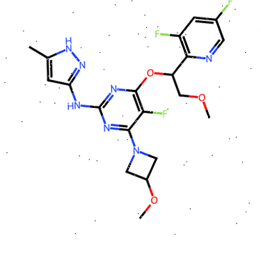 COCC(Oc1nc(Nc2cc(C)[nH]n2)nc(N2CC(OC)C2)c1F)c1ncc(F)cc1F